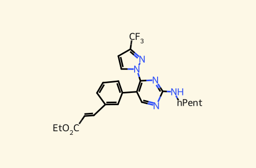 CCCCCNc1ncc(-c2cccc(/C=C/C(=O)OCC)c2)c(-n2ccc(C(F)(F)F)n2)n1